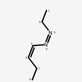 CC/C=C\N=N/CC